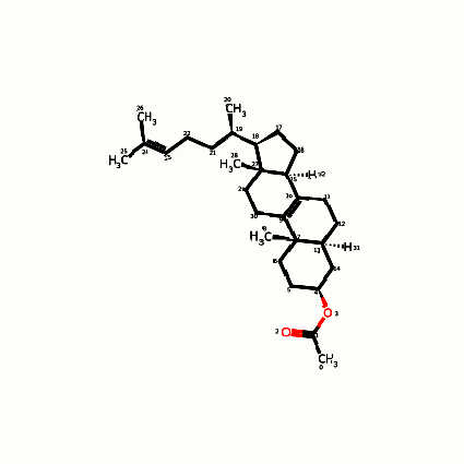 CC(=O)O[C@H]1CC[C@]2(C)C3=C(CC[C@H]2C1)[C@@H]1CC[C@H]([C@H](C)CCC=C(C)C)[C@@]1(C)CC3